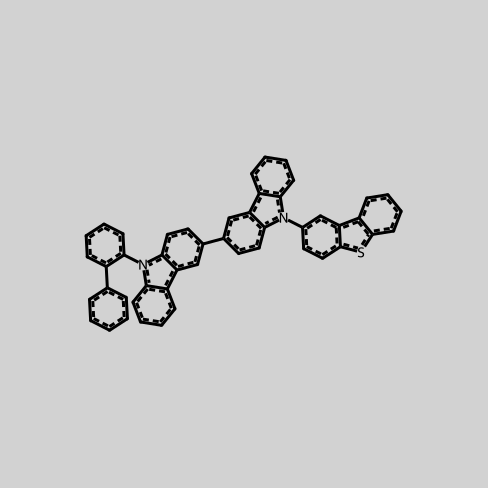 c1ccc(-c2ccccc2-n2c3ccccc3c3cc(-c4ccc5c(c4)c4ccccc4n5-c4ccc5sc6ccccc6c5c4)ccc32)cc1